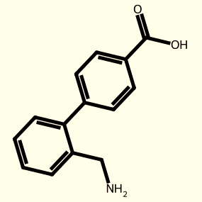 NCc1ccccc1-c1ccc(C(=O)O)cc1